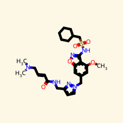 COc1cc(Cn2ccc(CNC(=O)/C=C/CN(C)C)n2)cc2onc(NS(=O)(=O)CC3CCCCC3)c12